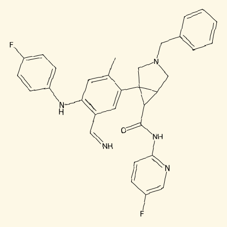 Cc1cc(Nc2ccc(F)cc2)c(C=N)cc1C12CN(Cc3ccccc3)CC1C2C(=O)Nc1ccc(F)cn1